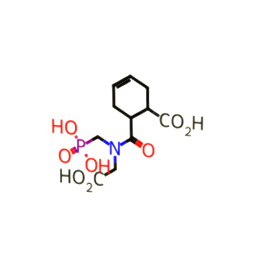 O=C(O)CN(CP(=O)(O)O)C(=O)C1CC=CCC1C(=O)O